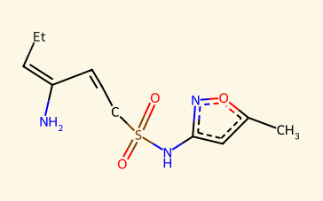 CC/C=C(N)\C=C/CS(=O)(=O)Nc1cc(C)on1